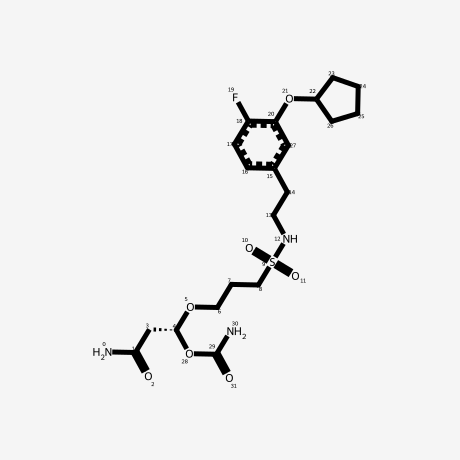 NC(=O)C[C@H](OCCCS(=O)(=O)NCCc1ccc(F)c(OC2CCCC2)c1)OC(N)=O